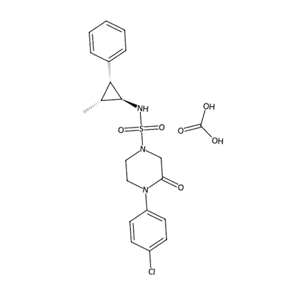 C[C@H]1[C@H](NS(=O)(=O)N2CCN(c3ccc(Cl)cc3)C(=O)C2)[C@H]1c1ccccc1.O=C(O)O